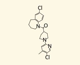 Cc1cc(N2CCC(C(=O)N3CCCCc4cc(Cl)ccc43)CC2)ncc1Cl